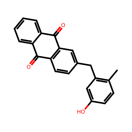 Cc1ccc(O)cc1Cc1ccc2c(c1)C(=O)c1ccccc1C2=O